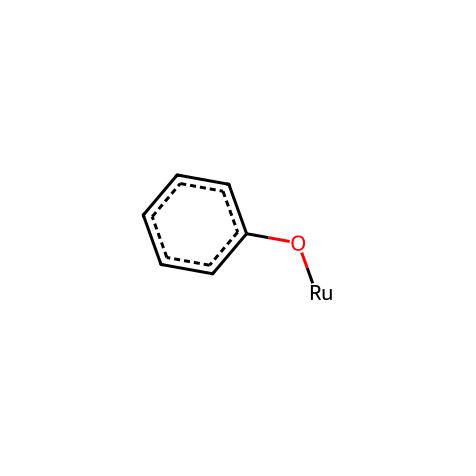 [Ru][O]c1ccccc1